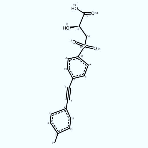 Cc1ccc(C#Cc2ccc(S(=O)(=O)C[C@@H](O)C(=O)O)cc2)cc1